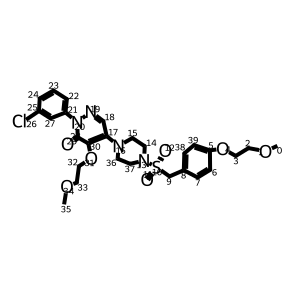 COCCOc1ccc(CS(=O)(=O)N2CCN(c3cnn(-c4cccc(Cl)c4)c(=O)c3OCCOC)CC2)cc1